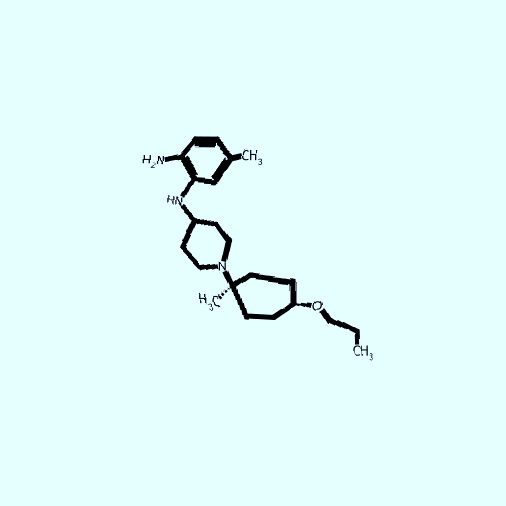 CCCO[C@H]1CC[C@@](C)(N2CCC(Nc3cc(C)ccc3N)CC2)CC1